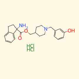 Cl.Cl.NC1(C(=O)OCC2CCN(Cc3cccc(O)c3)CC2)CCc2ccccc21